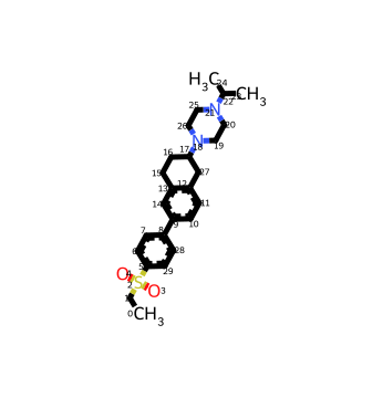 CCS(=O)(=O)c1ccc(-c2ccc3c(c2)CCC(N2CCN(C(C)C)CC2)C3)cc1